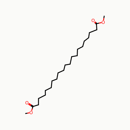 COC(=O)CCCCCCCCCCCCCCCCCCCC(=O)OC